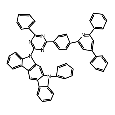 c1ccc(-c2cc(-c3ccccc3)nc(-c3ccc(-c4nc(-c5ccccc5)nc(-n5c6ccccc6c6cc7c8ccccc8n(-c8ccccc8)c7cc65)n4)cc3)c2)cc1